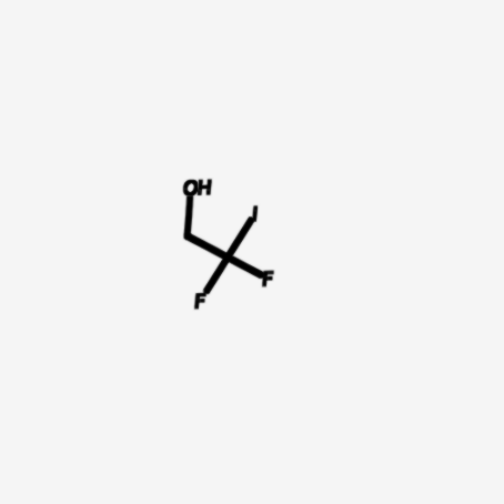 OCC(F)(F)I